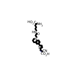 N#C/C(=C\c1ccc(-c2ccc3c(c2)CCCN3CCC(=O)NCCCC[C@@H](N)C(=O)O)s1)C(=O)O